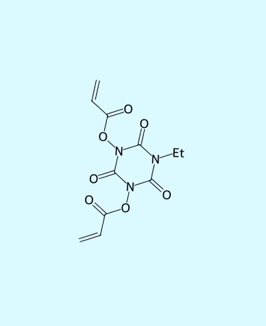 C=CC(=O)On1c(=O)n(CC)c(=O)n(OC(=O)C=C)c1=O